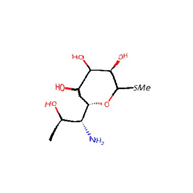 CSC1O[C@H]([C@H](N)[C@@H](C)O)C(O)C(O)[C@H]1O